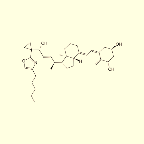 C=C1/C(=C\C=C2/CCC[C@]3(C)[C@@H]([C@@H](C)/C=C/[C@@H](O)C4(c5nc(CCCCC)co5)CC4)CC[C@@H]23)C[C@@H](O)C[C@@H]1O